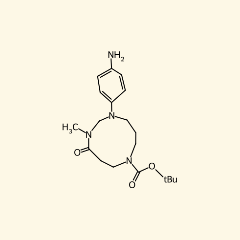 CN1CN(c2ccc(N)cc2)CCCN(C(=O)OC(C)(C)C)CCC1=O